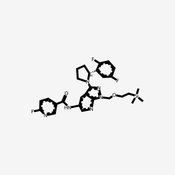 C[Si](C)(C)CCOCn1nc(N2CCC[C@@H]2c2cc(F)ccc2F)c2cc(NC(=O)c3ccc(F)nc3)cnc21